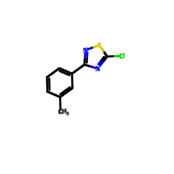 Cc1cccc(-c2nsc(Cl)n2)c1